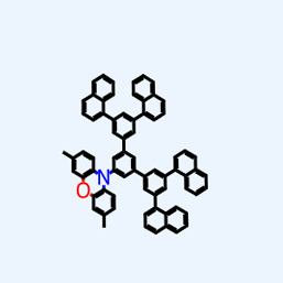 Cc1ccc2c(c1)Oc1cc(C)ccc1N2c1cc(-c2cc(-c3cccc4ccccc34)cc(-c3cccc4ccccc34)c2)cc(-c2cc(-c3cccc4ccccc34)cc(-c3cccc4ccccc34)c2)c1